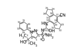 CC(C)(O)c1cc(S(N)(=O)=NC(O)Nc2c3c(c(C#N)c4c2CCC4)CCC3)nn1-c1ccccc1